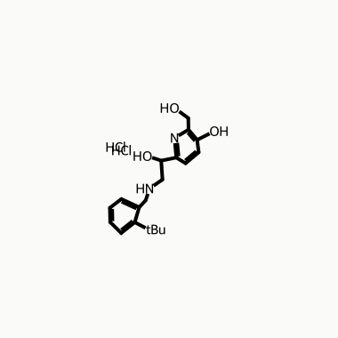 CC(C)(C)c1ccccc1CNCC(O)c1ccc(O)c(CO)n1.Cl.Cl